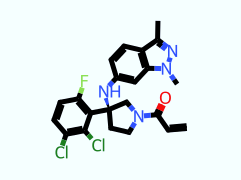 C=CC(=O)N1CC[C@](Nc2ccc3c(C)nn(C)c3c2)(c2c(F)ccc(Cl)c2Cl)C1